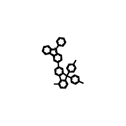 Cc1ccc(C2(c3ccc(C)cc3)c3cc(-c4ccc5c(c4)c4ccccc4n5-c4ccccc4)ccc3-c3c(C)cccc32)cc1